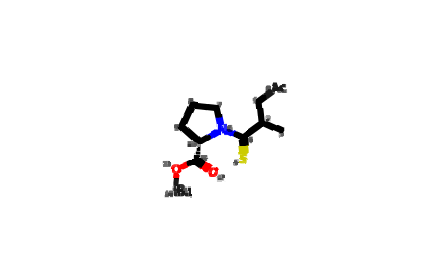 CC(=O)CC(C)C(=S)N1CCC[C@H]1C(=O)OC(C)(C)C